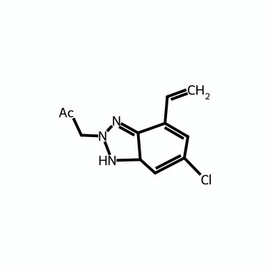 C=CC1=CC(Cl)=CC2NN(CC(C)=O)N=C12